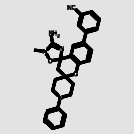 CN1OC2(CC3(CCN(c4ccccc4)CC3)Oc3ccc(-c4cccc(C#N)c4)cc32)N=C1N